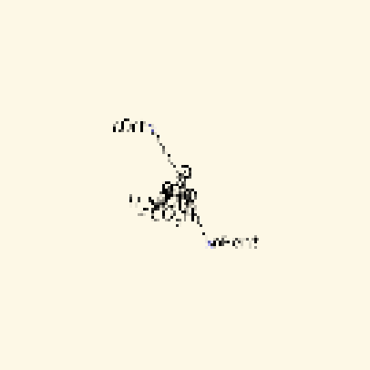 CCCCC/C=C\CCCCCCCC(=O)O[C@H](COC(=O)CCCCCCCCC/C=C\CCCCCCCC)COP(=O)(O)OC[C@H](N)C(=O)O